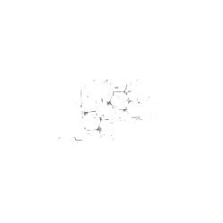 CC(=O)OC[C@@H]1O[C@H](OP)[C@@H](O[C@H]2O[C@H](COC(C)=O)[C@@H](OC(C)=O)[C@H](OC(C)=O)[C@@H]2OC(C)=O)[C@@H](OC(C)=O)[C@@H]1OC(C)=O